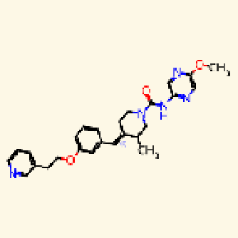 COc1cnc(NC(=O)N2CC/C(=C\c3cccc(OCCc4cccnc4)c3)C(C)C2)cn1